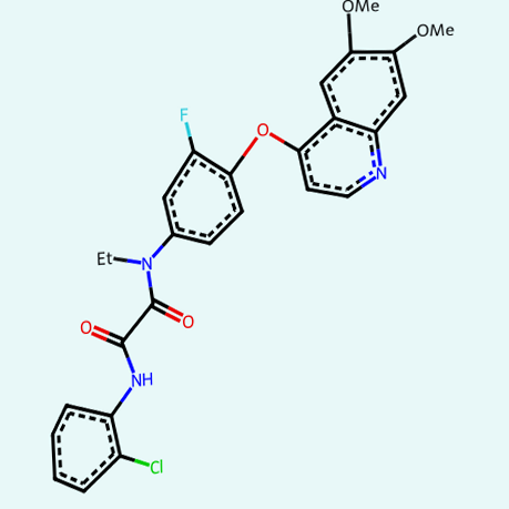 CCN(C(=O)C(=O)Nc1ccccc1Cl)c1ccc(Oc2ccnc3cc(OC)c(OC)cc23)c(F)c1